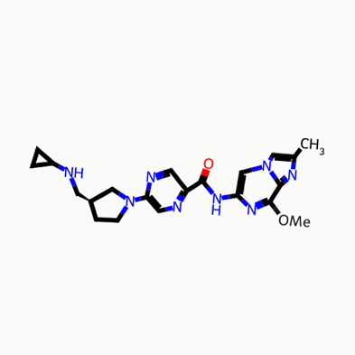 COc1nc(NC(=O)c2cnc(N3CC[C@@H](CNC4CC4)C3)cn2)cn2cc(C)nc12